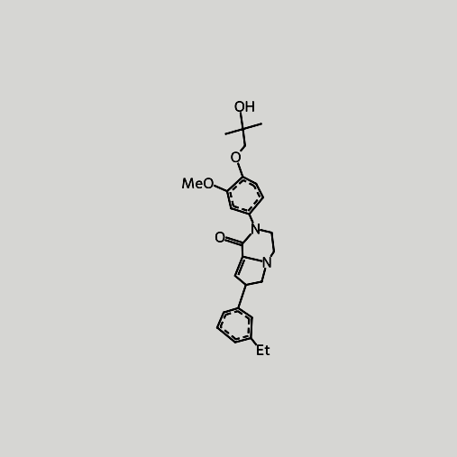 CCc1cccc(C2C=C3C(=O)N(c4ccc(OCC(C)(C)O)c(OC)c4)CCN3C2)c1